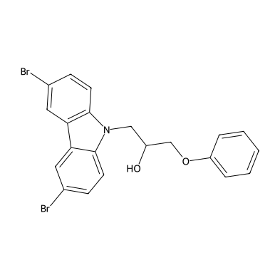 OC(COc1ccccc1)Cn1c2ccc(Br)cc2c2cc(Br)ccc21